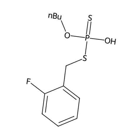 CCCCOP(O)(=S)SCc1ccccc1F